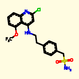 NS(=O)(=O)Cc1ccc(CCNc2cc(Cl)nc3cccc(OC(F)(F)F)c23)cc1